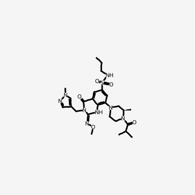 CCCNS(=O)(=O)c1cc(N2CCN(C(=O)C(C)C)[C@H](C)C2)c2[nH]/c(=N\OC)n(Cc3cnn(C)c3)c(=O)c2c1